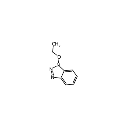 [CH2]COn1nnc2ccccc21